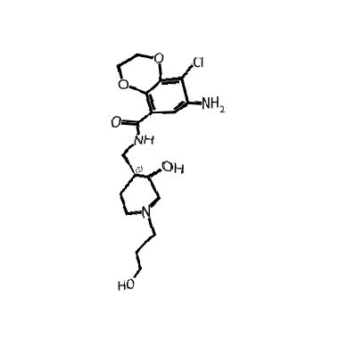 Nc1cc(C(=O)NC[C@@H]2CCN(CCCO)CC2O)c2c(c1Cl)OCCO2